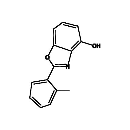 Cc1ccccc1-c1nc2c(O)cccc2o1